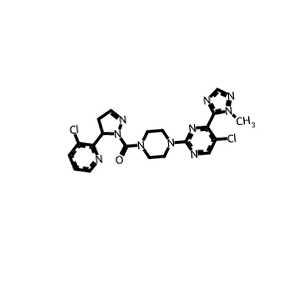 Cn1ncnc1-c1nc(N2CCN(C(=O)N3N=CCC3c3ncccc3Cl)CC2)ncc1Cl